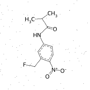 CC(C)C(=O)Nc1ccc([N+](=O)[O-])c(CF)c1